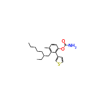 CCCCCC(CC)Cc1c(C)ccc(OC(N)=O)c1-c1ccsc1